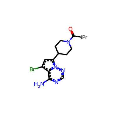 CC(C)C(=O)N1CCC(c2cc(Br)c3c(N)ncnn23)CC1